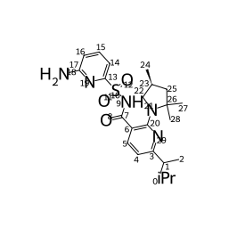 CC(C)C(C)c1ccc(C(=O)NS(=O)(=O)c2cccc(N)n2)c(N2C[C@@H](C)CC2(C)C)n1